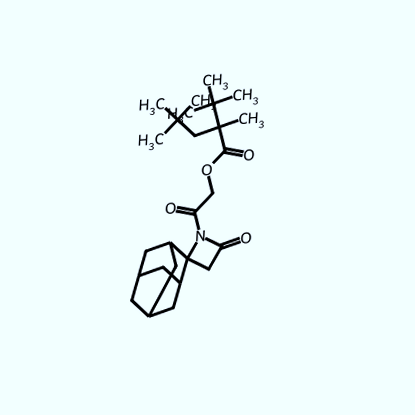 CC(C)(C)CC(C)(C(=O)OCC(=O)N1C(=O)CC12C1CC3CC(C1)CC2C3)C(C)(C)C